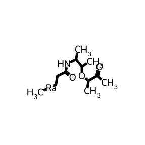 [CH3][Ra][CH2]CC(=O)NC(C)C(C)OC(C)C(C)=O